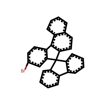 Brc1ccc2c(c1)C1(c3ccccc3-c3ccccc31)c1ccc3ccccc3c1-2